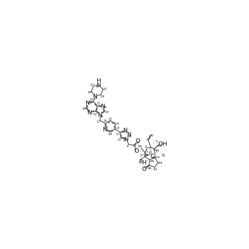 C=C[C@]1(C)C[C@@H](OC(=O)Cn2cc(-c3ccc(Cn4cnc5c(N6CCNCC6)ncnc54)nc3)nn2)[C@]2(C)C(C)CC[C@]3(CCC(=O)[C@H]32)[C@@H](C)[C@@H]1O